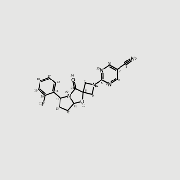 N#Cc1cnc(N2CC3(C2)OC2CCC(c4ccccc4F)N2C3=O)nc1